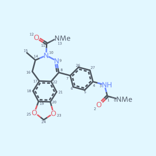 CNC(=O)Nc1ccc(C2=NN(C(=O)NC)C(C)Cc3cc4c(cc32)OCO4)cc1